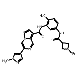 Cc1ccc(NC(=O)C2CN(C(C)C)C2)cc1NC(=O)c1cnn2cc(-c3cnn(C)c3)ncc12